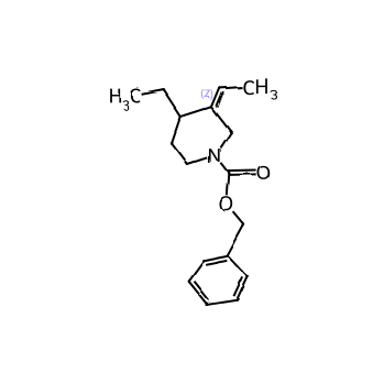 C/C=C1\CN(C(=O)OCc2ccccc2)CCC1CC